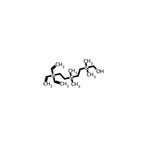 C=C[Si](C=C)(C=C)CC[Si](C)(C)CC[Si](C)(C)CO